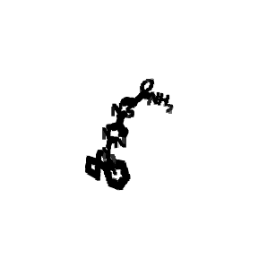 NC(=O)c1cnc(-c2cnc(NCC3(c4ccccn4)CCC3)nc2)s1